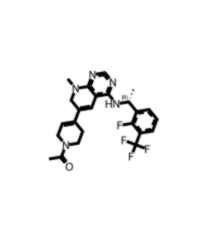 CC(=O)N1CC=C(C2=Cc3c(N[C@H](C)c4cccc(C(F)(F)F)c4F)ncnc3N(C)C2)CC1